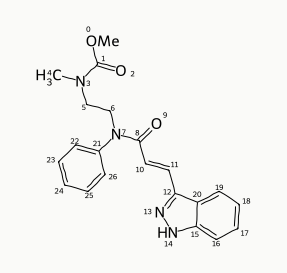 COC(=O)N(C)CCN(C(=O)/C=C/c1n[nH]c2ccccc12)c1ccccc1